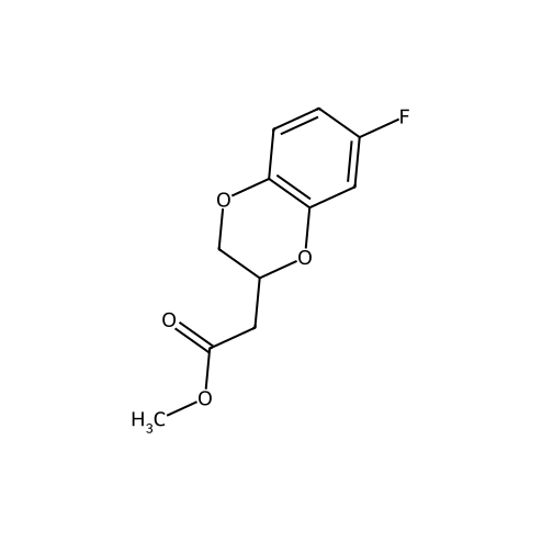 COC(=O)CC1COc2ccc(F)cc2O1